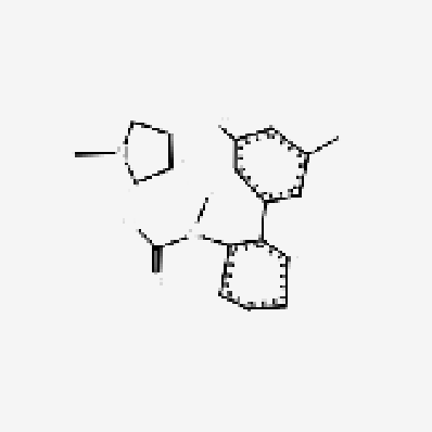 CN1CC[C@H](CN(C(=O)O)c2ccccc2-c2cc(F)cc(F)c2)C1